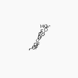 C=CCCOc1ccc(C2CCC(OCc3ccc(C4CCC(C(O)CCC)CC4)c(F)c3F)CC2)c(F)c1F